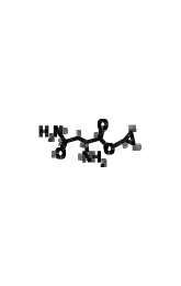 NC(=O)C[C@H](N)C(=O)OC1CC1